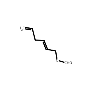 C=CCC=CCOC=O